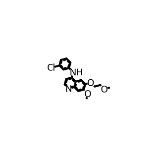 COCCOc1cc2c(Nc3cccc(Cl)c3)ccnc2cc1OC